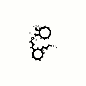 CCC1C=CCCCCCCC1CC.CCCCC1C=CCCCCC(CCCC)C1